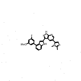 COc1cc(F)cc(-c2cccc3[nH]c(-c4n[nH]c5ncc(-c6cnc(C)n6C)cc45)cc23)c1